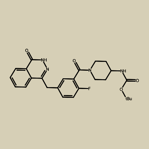 CC(C)(C)OC(=O)NC1CCN(C(=O)c2cc(Cc3n[nH]c(=O)c4ccccc34)ccc2F)CC1